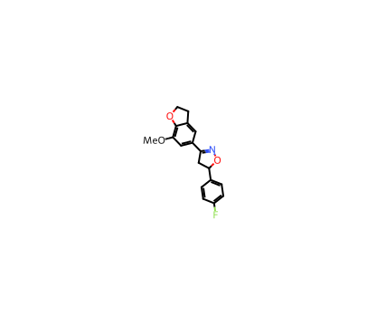 COc1cc(C2=NOC(c3ccc(F)cc3)C2)cc2c1OCC2